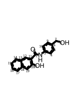 O=C(Nc1ccc(CO)cc1)c1cc2ccccc2cc1O